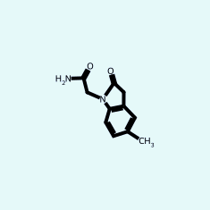 Cc1ccc2c(c1)CC(=O)N2CC(N)=O